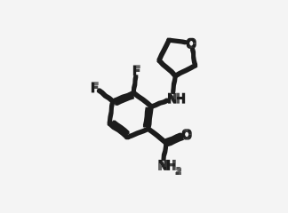 NC(=O)c1ccc(F)c(F)c1NC1CCOC1